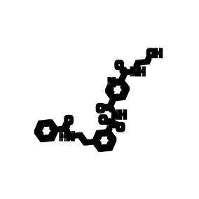 O=C(NCCc1cccc(S(=O)(=O)NC(=O)c2ccc(C(=O)NCCO)nc2)c1)c1ccccc1